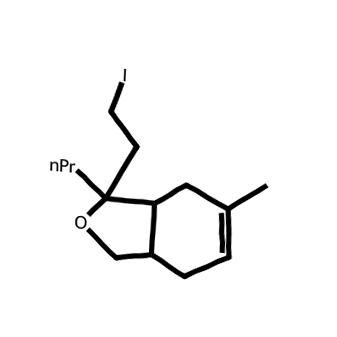 CCCC1(CCI)OCC2CC=C(C)CC21